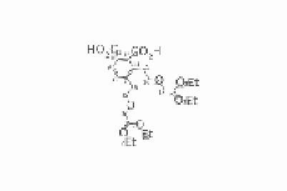 CCOC(COCCc1ccc(C(=O)O)c(C(=O)O)c1CCOCC(OCC)OCC)OCC